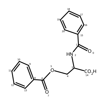 O=C(NC(COC(=O)c1ccccc1)C(=O)O)c1ccccc1